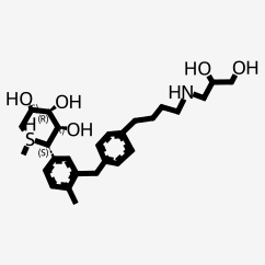 Cc1ccc([C@H]2[C@H](O)[C@H](O)[C@H](O)C[SH]2C)cc1Cc1ccc(CCCCNCC(O)CO)cc1